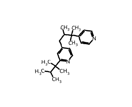 CC(C)C(C)(C)c1cc(CC(C)C(C)(C)c2ccncc2)ccn1